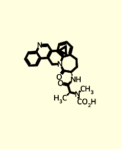 C[C@@H](C(=O)N[C@H]1CCc2ccccc2N(Cc2c(C3CC3)cnc3ccccc23)C1=O)N(C)C(=O)O